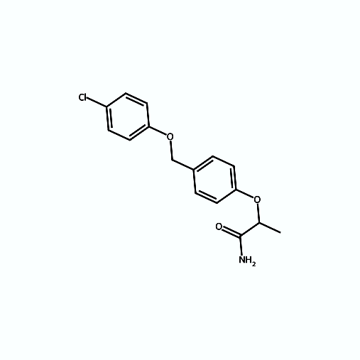 CC(Oc1ccc(COc2ccc(Cl)cc2)cc1)C(N)=O